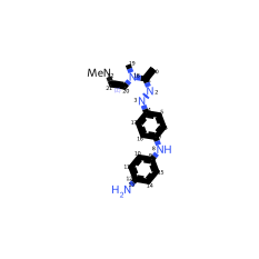 C=C(N=Nc1ccc(Nc2ccc(N)cc2)cc1)N(C)/C=C\NC